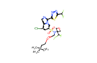 C[Si](C)(C)CCOCN(C1(C(F)F)COC1)S(=O)(=O)c1cc(Cl)c2cnc(-c3nnc(C(F)F)s3)n2c1